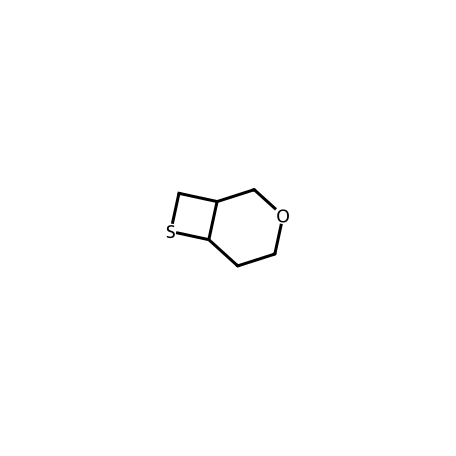 C1CC2SCC2CO1